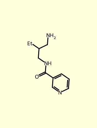 CCC(CN)CNC(=O)c1cccnc1